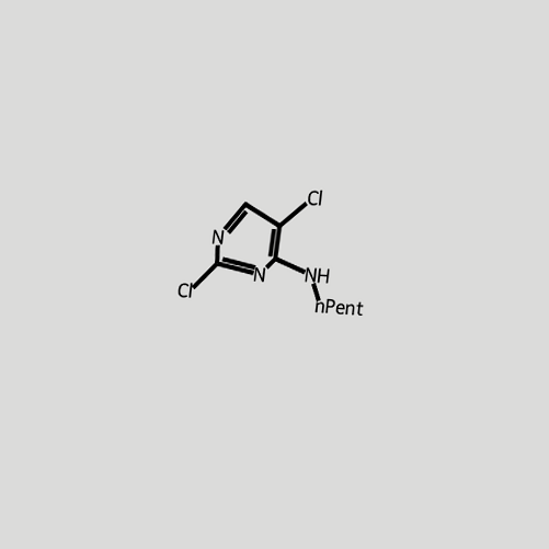 CCCCCNc1nc(Cl)ncc1Cl